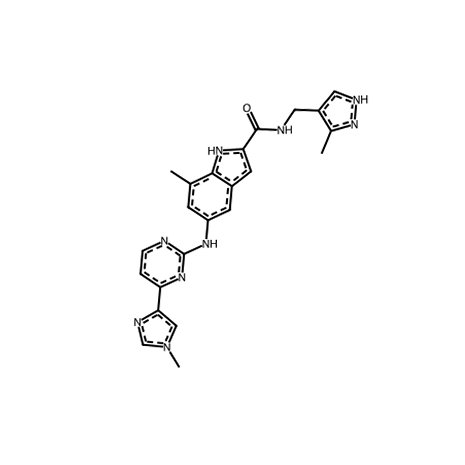 Cc1n[nH]cc1CNC(=O)c1cc2cc(Nc3nccc(-c4cn(C)cn4)n3)cc(C)c2[nH]1